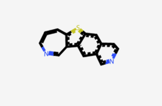 C1=CN=Cc2c(sc3cc4ccncc4cc23)C=1